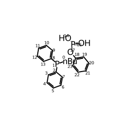 CCCCP(c1ccccc1)c1ccccc1.OP(O)Oc1ccccc1